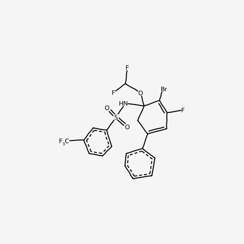 O=S(=O)(NC1(OC(F)F)CC(c2ccccc2)=CC(F)=C1Br)c1cccc(C(F)(F)F)c1